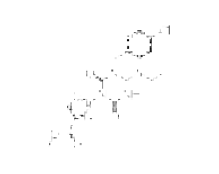 CCSC1NC(=O)N(c2nc(C(=O)OC)co2)C(=O)N1Cc1ccc(Cl)cc1